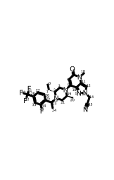 CC[C@@H]1CN(c2cc(=O)n(C)c3cn(CC#N)nc23)[C@@H](C)CN1C(C)c1ccc(C(F)(F)F)cc1F